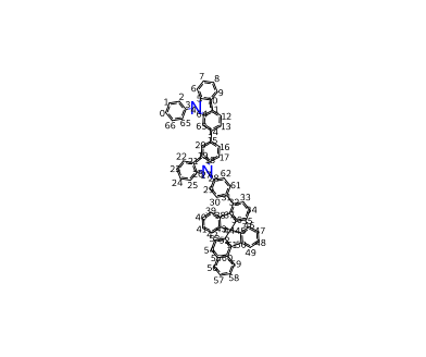 c1ccc(-n2c3ccccc3c3ccc(-c4ccc5c(c4)c4ccccc4n5-c4ccc(-c5cccc6c5-c5ccccc5C65c6ccccc6-c6c5ccc5ccccc65)cc4)cc32)cc1